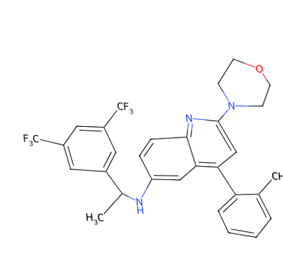 Cc1ccccc1-c1cc(N2CCOCC2)nc2ccc(NC(C)c3cc(C(F)(F)F)cc(C(F)(F)F)c3)cc12